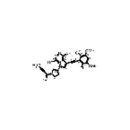 CC#CC(=O)N1CC[C@H](n2cc(C#Cc3c(Cl)c(OC)cc(OC)c3Cl)c3c(N)nnc(O)[n+]32)C1